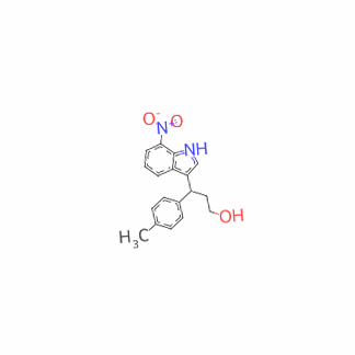 Cc1ccc(C(CCO)c2c[nH]c3c([N+](=O)[O-])cccc23)cc1